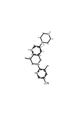 Cc1cc(C#N)cnc1N1Cc2cc(N3CCOCC3)cnc2C(C)C1